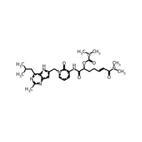 Cc1nc(CC(C)C)c2[nH]c(Cn3cccc(NC(=O)C(CCC=CC(=O)N(C)C)OC(=O)N(C)C)c3=O)cc2n1